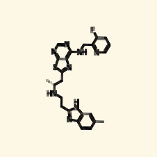 Cc1ccc2nc(CCN[C@H](C)Cc3nc4c(NCc5ncccc5F)ncnc4s3)[nH]c2c1